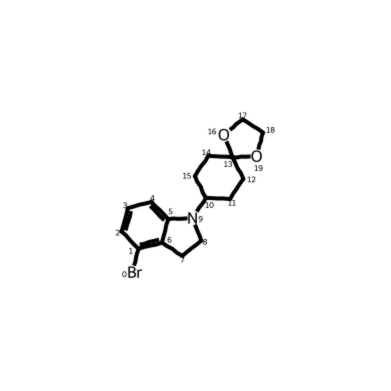 Brc1cccc2c1CCN2C1CCC2(CC1)OCCO2